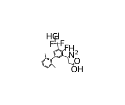 Cc1cccc(C)c1-c1cc([C@@H](N)CC(=O)O)c(F)c(C(F)(F)F)c1.Cl